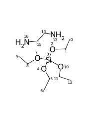 CCO[Si](OCC)(OCC)OCC.NCCN